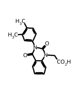 Cc1ccc(-n2c(=O)c3ccccc3n(CC(=O)O)c2=O)cc1C